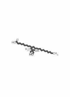 CCC(CO)(CO)CO.CCCCCCCCCCCCCCCCCCCCC=CC(=O)O